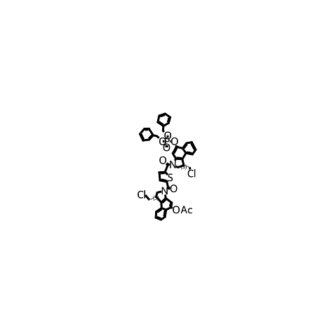 CC(=O)Oc1cc2c(c3ccccc13)[C@H](CCl)CN2C(=O)c1ccc(C(=O)N2C[C@@H](CCl)c3c2cc(OP(=O)(OCc2ccccc2)OCc2ccccc2)c2ccccc32)s1